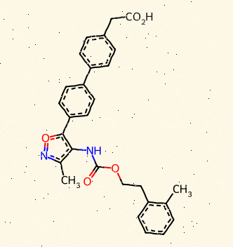 Cc1ccccc1CCOC(=O)Nc1c(C)noc1-c1ccc(-c2ccc(CC(=O)O)cc2)cc1